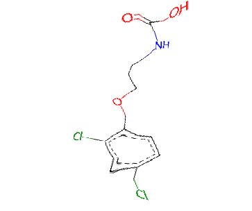 O=C(O)NCCOc1ccc(Cl)cc1Cl